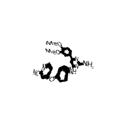 COc1ccc(-c2cc(Nc3ccc(Oc4ccnc(C#N)c4)cc3)nc(N)n2)cc1OC